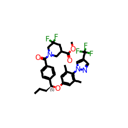 CCC[C@H](Oc1cc(C)c(-n2cc(C(F)(F)F)cn2)c(C)c1)c1ccc(C(=O)N2CC(C(=O)OC)CC(F)(F)C2)cc1